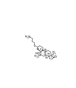 C=C1C[C@@H]2[C@@H](CC[C@]3(C)C(=O)CC[C@@H]23)[C@@]2(C)CCC(SCCCN)CC12O